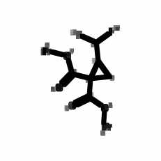 CC(C)OC(=O)C1(C(=O)OC(C)C)CC1C(F)F